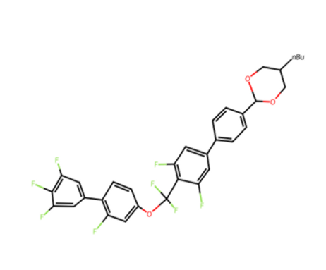 CCCCC1COC(c2ccc(-c3cc(F)c(C(F)(F)Oc4ccc(-c5cc(F)c(F)c(F)c5)c(F)c4)c(F)c3)cc2)OC1